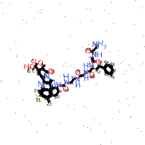 CC[C@@]1(O)C(=O)OCc2c1cc1n(c2=O)Cc2c-1nc1cc(F)c(C)c3c1c2[C@@H](NC(=O)NCCNC(=O)CNC(=O)[C@H](CCc1ccccc1)NC(=O)CNC(=O)CN)CC3